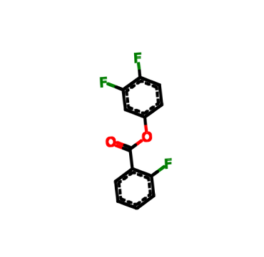 O=C(Oc1ccc(F)c(F)c1)c1ccccc1F